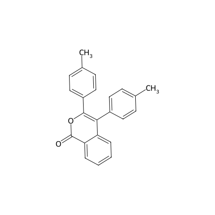 Cc1ccc(-c2oc(=O)c3ccccc3c2-c2ccc(C)cc2)cc1